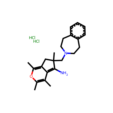 CC1=C(C)C2=C(N)C(C)(CN3CCc4ccccc4CC3)CC2=C(C)O1.Cl.Cl